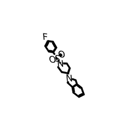 O=S(=O)(c1ccc(F)cc1)N1CCC(N2Cc3ccccc3C2)CC1